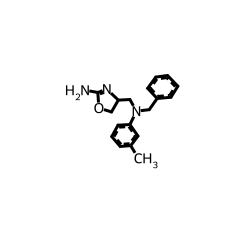 Cc1cccc(N(Cc2ccccc2)CC2COC(N)=N2)c1